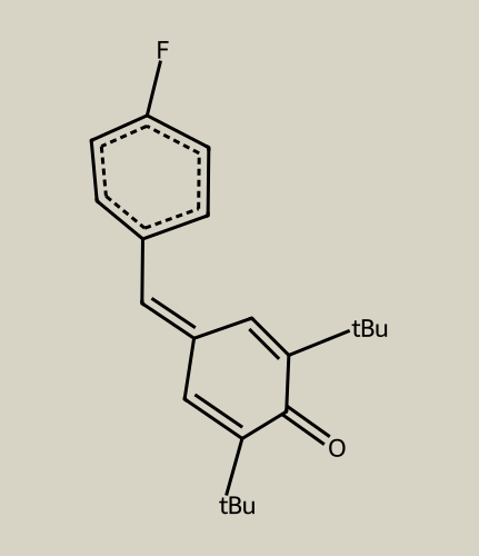 CC(C)(C)C1=CC(=Cc2ccc(F)cc2)C=C(C(C)(C)C)C1=O